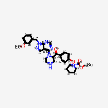 CCOc1cccc(Cn2ncc3c(N4CCNCC4C(=O)c4ccc(O[N+]5(C(=O)OC(C)(C)C)CCCCC5)cc4)ncnc32)c1